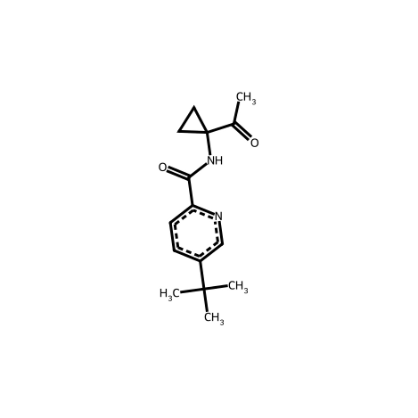 CC(=O)C1(NC(=O)c2ccc(C(C)(C)C)cn2)CC1